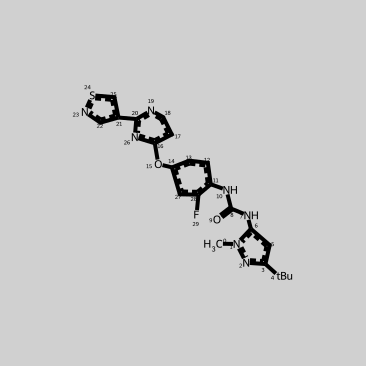 Cn1nc(C(C)(C)C)cc1NC(=O)Nc1ccc(Oc2ccnc(-c3cnsc3)n2)cc1F